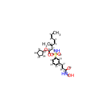 C=C(/C=C\C=C/C)[C@H](NS(=O)(=O)c1cccc(/C=C/C(=O)NO)c1)C(=O)OC1CCCC1